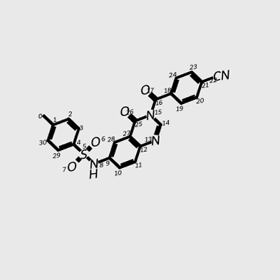 Cc1ccc(S(=O)(=O)Nc2ccc3ncn(C(=O)c4ccc(C#N)cc4)c(=O)c3c2)cc1